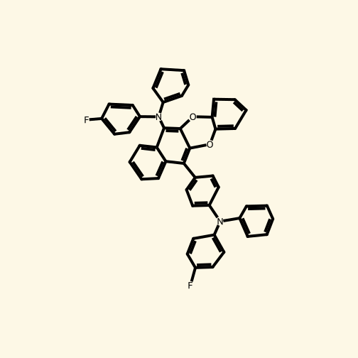 Fc1ccc(N(c2ccccc2)c2ccc(-c3c4c(c(N(c5ccccc5)c5ccc(F)cc5)c5ccccc35)Oc3ccccc3O4)cc2)cc1